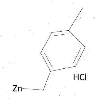 Cc1ccc([CH2][Zn])cc1.Cl